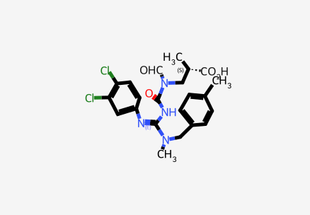 Cc1ccc(CN(C)/C(=N/c2ccc(Cl)c(Cl)c2)NC(=O)N(C=O)C[C@H](C)C(=O)O)cc1